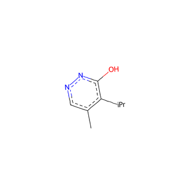 Cc1cnnc(O)c1C(C)C